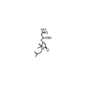 CC(C)CN1C(=O)CN(CC(O)CC(=O)O)C1(C)C